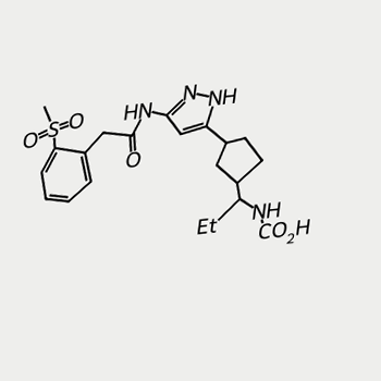 CCC(NC(=O)O)C1CCC(c2cc(NC(=O)Cc3ccccc3S(C)(=O)=O)n[nH]2)C1